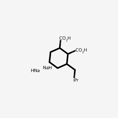 CC(C)CC1CCCC(C(=O)O)C1C(=O)O.[NaH].[NaH]